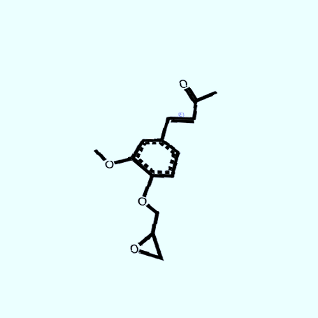 COc1cc(/C=C/C(C)=O)ccc1OCC1CO1